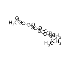 CCC1(COc2ccc(-c3ccc(C(=O)Oc4ccc(C(=O)OC5CCC6(C)C(=CCC7C6CCC6(C)C(C(C)CCCC(C)C)CCC76)C5)cc4)cc3)cc2)COC1